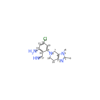 Cc1nc2c(n1C)CN(c1cc(Cl)cc(N)c1C=N)CC2